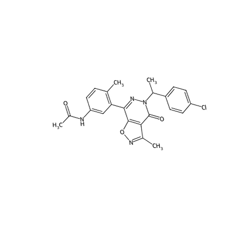 CC(=O)Nc1ccc(C)c(-c2nn(C(C)c3ccc(Cl)cc3)c(=O)c3c(C)noc23)c1